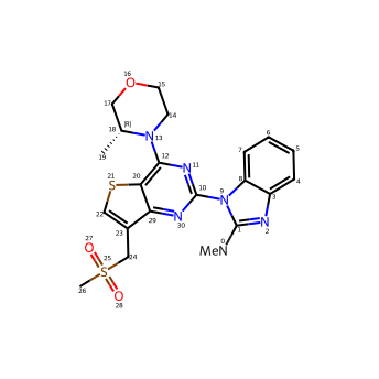 CNc1nc2ccccc2n1-c1nc(N2CCOC[C@H]2C)c2scc(CS(C)(=O)=O)c2n1